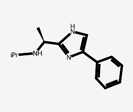 CC(C)N[C@@H](C)c1nc(-c2ccccc2)c[nH]1